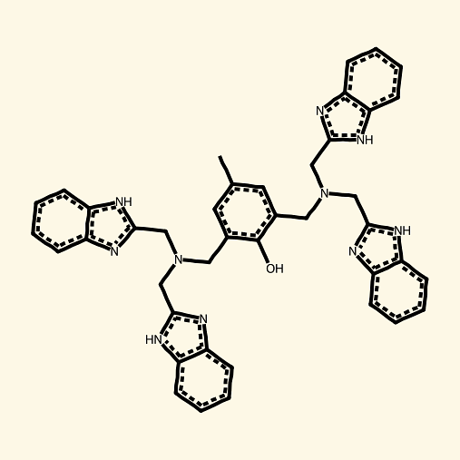 Cc1cc(CN(Cc2nc3ccccc3[nH]2)Cc2nc3ccccc3[nH]2)c(O)c(CN(Cc2nc3ccccc3[nH]2)Cc2nc3ccccc3[nH]2)c1